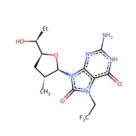 CC[C@H](O)[C@@H]1C[C@@H](C)[C@H](n2c(=O)n(CC(F)(F)F)c3c(=O)[nH]c(N)nc32)O1